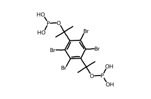 CC(C)(OP(O)O)c1c(Br)c(Br)c(C(C)(C)OP(O)O)c(Br)c1Br